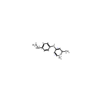 C/C=C\C(=C/C(C)F)Oc1ccc(NN)cc1